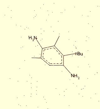 CCCCc1c(N)cc(C)c(N)c1C